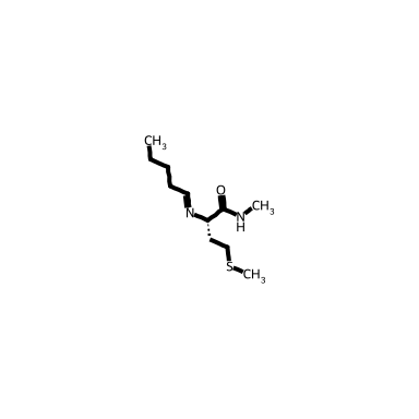 CCCC/C=N/[C@@H](CCSC)C(=O)NC